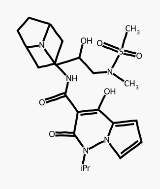 CC(C)n1c(=O)c(C(=O)NC2CC3CCC(C2)N3CC(O)CN(C)S(C)(=O)=O)c(O)c2cccn21